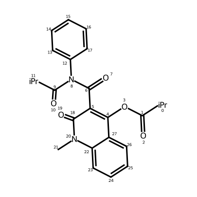 CC(C)C(=O)Oc1c(C(=O)N(C(=O)C(C)C)c2ccccc2)c(=O)n(C)c2ccccc12